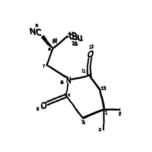 CC1(C)CC(=O)N(C[C@@H](C#N)C(C)(C)C)C(=O)C1